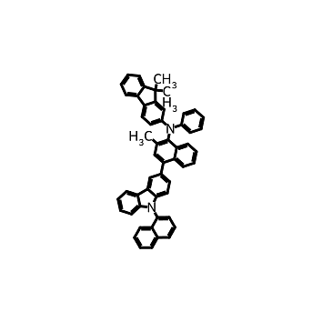 Cc1cc(-c2ccc3c(c2)c2ccccc2n3-c2cccc3ccccc23)c2ccccc2c1N(c1ccccc1)c1ccc2c(c1)C(C)(C)c1ccccc1-2